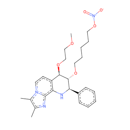 COCCO[C@@H]1c2ccn3c(C)c(C)nc3c2N[C@H](c2ccccc2)[C@H]1OCCCCCO[N+](=O)[O-]